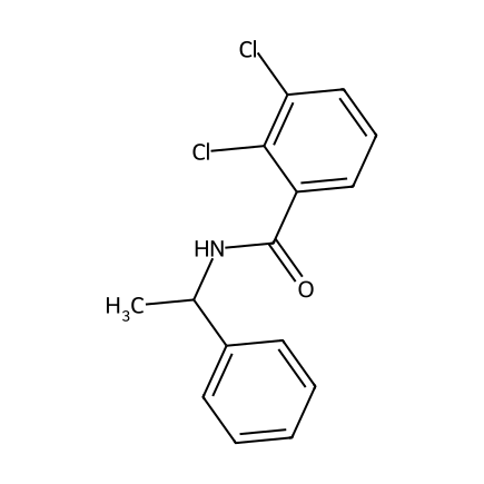 CC(NC(=O)c1cccc(Cl)c1Cl)c1ccccc1